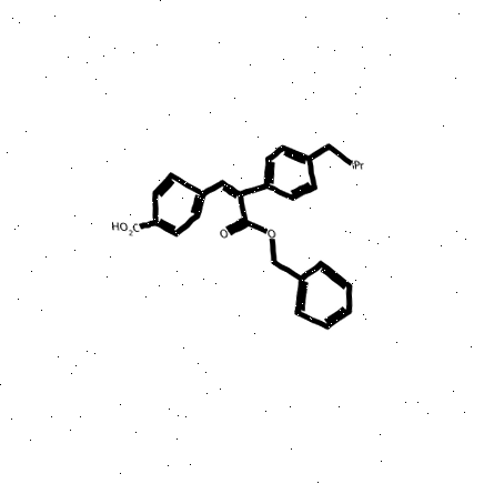 CC(C)Cc1ccc(C(=Cc2ccc(C(=O)O)cc2)C(=O)OCc2ccccc2)cc1